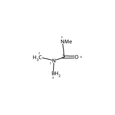 BN(C)C(=O)NC